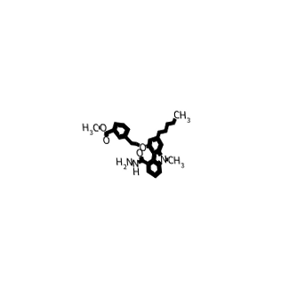 CCCCCc1cc(OCCc2cccc(C(=O)OC)c2)c2c3c(C(=O)NN)cccc3n(C)c2c1